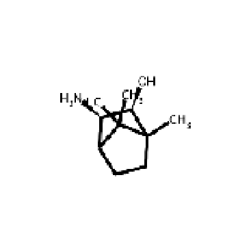 CC1(C)C2CCC1(C)[C@H](O)[C@@H]2N